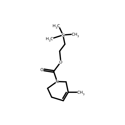 CC1=CCCN(C(=O)OCC[Si](C)(C)C)C1